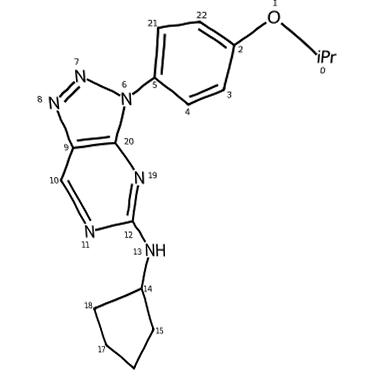 CC(C)Oc1ccc(-n2nnc3cnc(NC4CCCC4)nc32)cc1